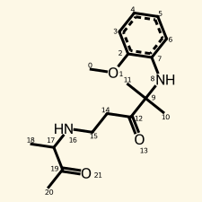 COc1ccccc1NC(C)(C)C(=O)CCNC(C)C(C)=O